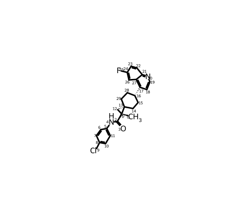 C[C@@]1(C(=O)Nc2ccc(Cl)cc2)C[C@]12CC[C@@H](c1ccnc3ccc(F)cc31)CC2